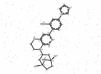 Oc1cc(-n2ccnc2)ccc1-c1cc2c(nn1)N(C1C[C@H]3CC[C@@H](C1)N3)CCO2